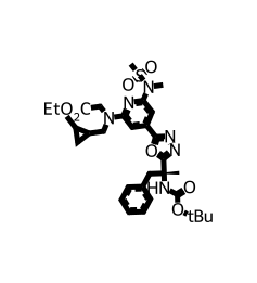 CCOC(=O)CN(CC1CC1C)c1cc(-c2nnc([C@@](C)(Cc3ccccc3)NC(=O)OC(C)(C)C)o2)cc(N(C)S(C)(=O)=O)n1